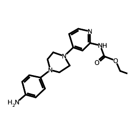 CCOC(=O)Nc1cc(N2CCN(c3ccc(N)cc3)CC2)ccn1